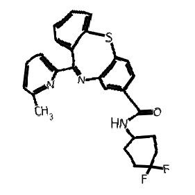 Cc1cccc(C2=Nc3cc(C(=O)NC4CCC(F)(F)CC4)ccc3Sc3ccccc32)n1